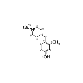 Cc1cc(O)ccc1CC1CCN(C(C)(C)C)CC1